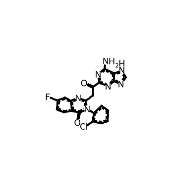 Nc1nc(C(=O)Cc2nc3cc(F)ccc3c(=O)n2-c2ccccc2Cl)nc2nc[nH]c12